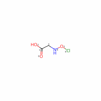 O=C(O)CNOCl